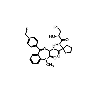 CC(C)C[C@H](O)C(=O)NC1(C(=O)NC2N=C(c3ccc(CF)cc3)c3ccccc3N(C)C2=O)CCCC1